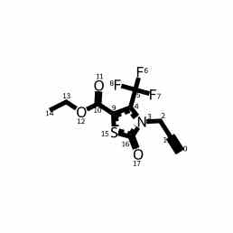 C#CCn1c(C(F)(F)F)c(C(=O)OCC)sc1=O